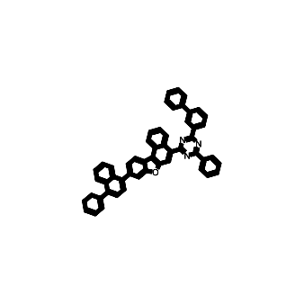 C1=CCCC(c2ccc(-c3ccc4c(c3)oc3cc(-c5nc(-c6ccccc6)nc(-c6cccc(-c7ccccc7)c6)n5)c5ccccc5c34)c3ccccc23)=C1